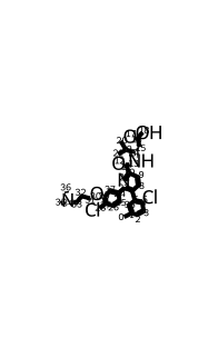 Cc1ccc(Cl)c(-c2ccc(C(=O)N[C@@H](CC(=O)O)C(C)C)nc2-c2ccc(Cl)c(OCCCN(C)C)c2)c1